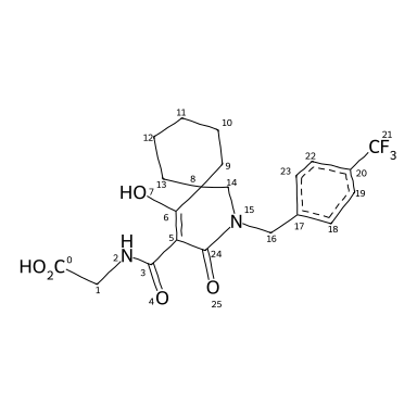 O=C(O)CNC(=O)C1=C(O)C2(CCCCC2)CN(Cc2ccc(C(F)(F)F)cc2)C1=O